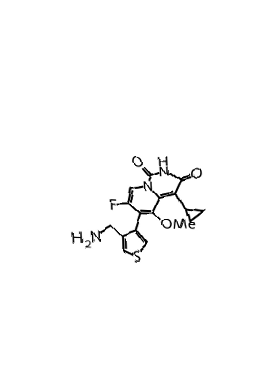 COc1c(-c2cscc2CN)c(F)cn2c(=O)[nH]c(=O)c(C3CC3)c12